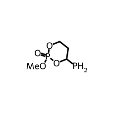 COP1(=O)OCCC(P)O1